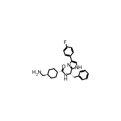 NC[C@H]1CC[C@H](C(=O)N[C@@H](Cc2ccccc2)c2nc(-c3ccc(F)cc3)c[nH]2)CC1